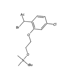 CC(=O)C(Br)c1ccc(Cl)cc1OCCO[Si](C)(C)C(C)(C)C